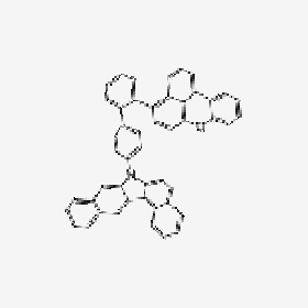 c1ccc2c(c1)Oc1ccc(-c3ccccc3-c3ccc(-n4c5cc6ccccc6cc5c5c6ccccc6ccc54)cc3)c3cccc-2c13